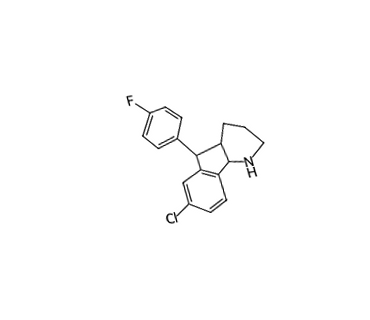 Fc1ccc(C2c3cc(Cl)ccc3C3NCCCC32)cc1